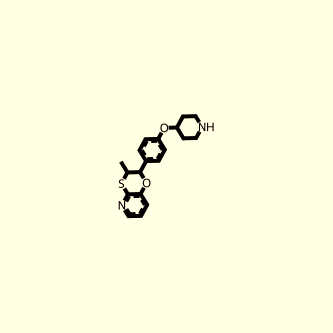 CC1Sc2ncccc2OC1c1ccc(OC2CCNCC2)cc1